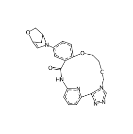 O=C1Nc2cccc(n2)-c2nncn2CCCCOc2ccc(N3C=C4CC3CO4)cc21